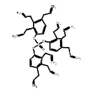 C=CCc1ccc(OP(=O)(Oc2ccc(CC=C)c(CC=C)c2CC=C)Oc2ccc(CC=C)c(CC=C)c2CC=C)c(CC=C)c1CC=C